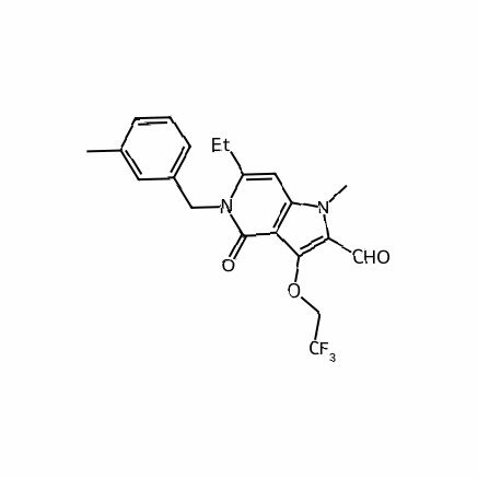 CCc1cc2c(c(OCC(F)(F)F)c(C=O)n2C)c(=O)n1Cc1cccc(C)c1